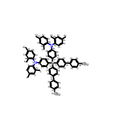 Cc1ccc(N(c2ccc([Si](c3ccc(-c4ccc(C(C)(C)C)cc4)cc3)(c3ccc(-c4ccc(C(C)(C)C)cc4)cc3)c3ccc(N(c4ccc(C)cc4C)c4ccc(C)cc4C)cc3)cc2)c2ccc(C)cc2C)c(C)c1